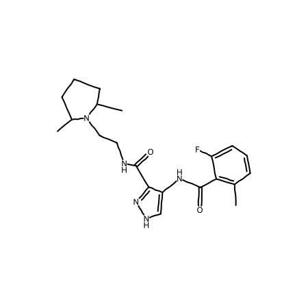 Cc1cccc(F)c1C(=O)Nc1c[nH]nc1C(=O)NCCN1C(C)CCCC1C